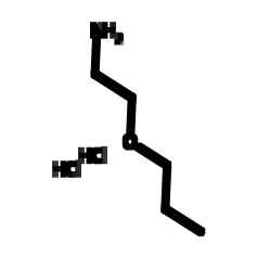 CCCOCCN.Cl.Cl